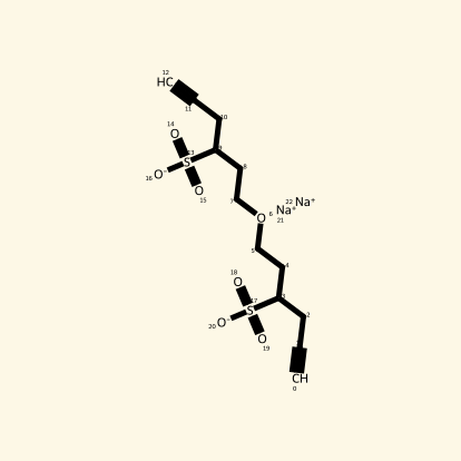 C#CCC(CCOCCC(CC#C)S(=O)(=O)[O-])S(=O)(=O)[O-].[Na+].[Na+]